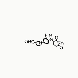 O=CC1CCN(c2ccc(NC3CCC(=O)NC3=O)c(F)c2)C1